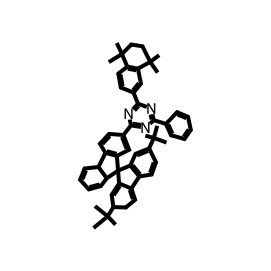 CC(C)(C)c1ccc2c(c1)C1(C3=CC(C(C)(C)C)CC=C32)c2cc(-c3nc(-c4ccccc4)nc(-c4ccc5c(c4)C(C)(C)CCC5(C)C)n3)ccc2C2C=CC=CC21